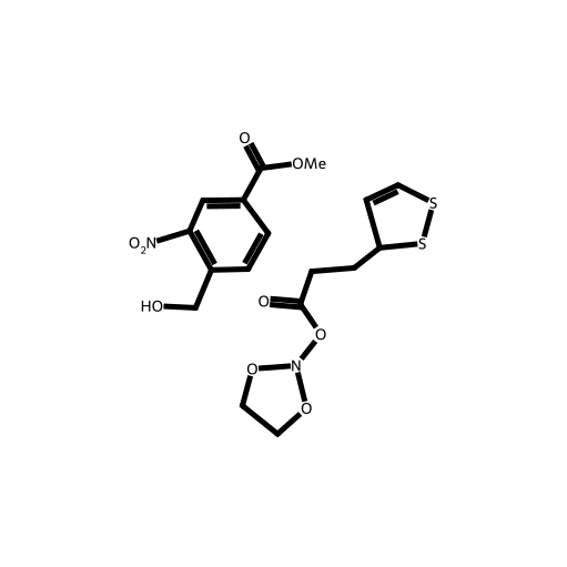 COC(=O)c1ccc(CO)c([N+](=O)[O-])c1.O=C(CCC1C=CSS1)ON1OCCO1